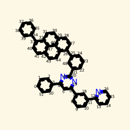 c1ccc(-c2cc(-c3cccc(-c4ccccn4)c3)nc(-c3cccc(-c4ccc5ccc6c(-c7ccccc7)ccc7ccc4c5c76)c3)n2)cc1